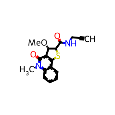 C#CCNC(=O)C1Sc2c(c(=O)n(C)c3ccccc23)C1OC